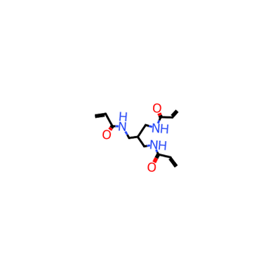 C=CC(=O)NCC(CNC(=O)C=C)CNC(=O)C=C